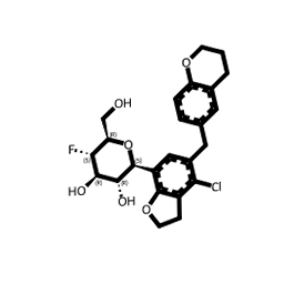 OC[C@H]1O[C@@H](c2cc(Cc3ccc4c(c3)CCCO4)c(Cl)c3c2OCC3)[C@H](O)[C@@H](O)[C@@H]1F